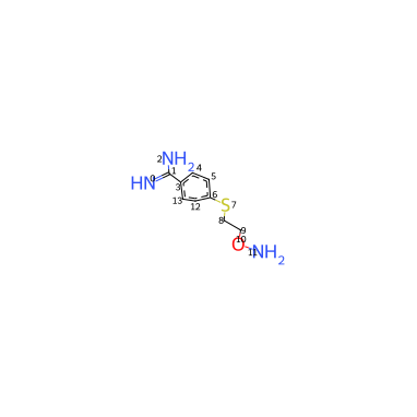 N=C(N)c1ccc(SCCON)cc1